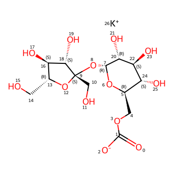 O=C([O-])OC[C@H]1O[C@H](O[C@]2(CO)O[C@H](CO)[C@@H](O)[C@@H]2O)[C@H](O)[C@@H](O)[C@@H]1O.[K+]